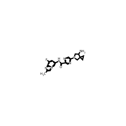 Cc1cn2cc(NC(=O)c3cnc(N4CC(N)C5(CC5)C4)cn3)cc(F)c2n1